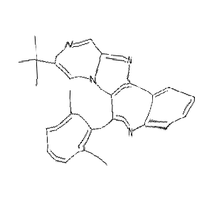 Cc1cccc(C)c1-c1nc2ccccc2c2nc3cnc(C(C)(C)C)cn3c12